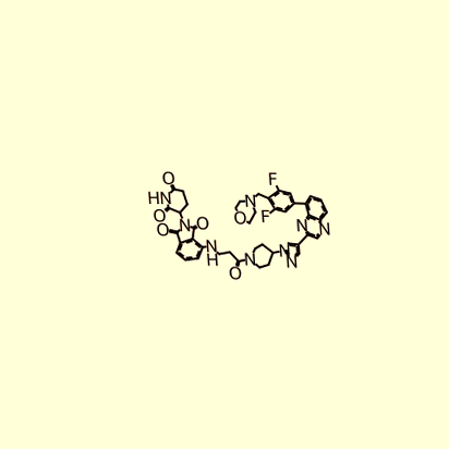 O=C1CCC(N2C(=O)c3cccc(NCCC(=O)N4CCC(n5cc(-c6cnc7cccc(-c8cc(F)c(CN9CCOCC9)c(F)c8)c7n6)cn5)CC4)c3C2=O)C(=O)N1